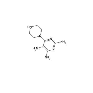 Nc1nc(N)c(N)c(N2CCNCC2)n1